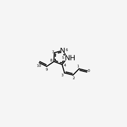 C=C/C=C\c1[nH]ncc1C=C